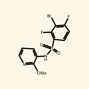 COc1ncccc1NS(=O)(=O)c1ccc(F)c(Br)c1F